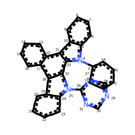 c1ccc(-n2c3ccccc3c3c4ccccc4c4c5ccccc5n(-c5ncncn5)c4c32)cc1